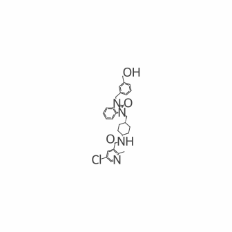 Cc1ncc(Cl)cc1C(=O)N[C@H]1CC[C@H](Cn2c(=O)n(Cc3cccc(CO)c3)c3ccccc32)CC1